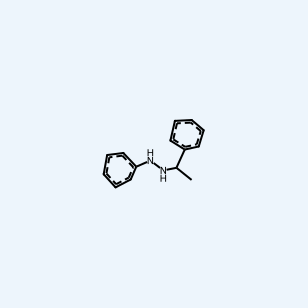 CC(NNc1ccccc1)c1ccccc1